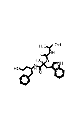 CCCCCCCCC(C)NC(=O)OC(C)(Cc1c[nH]c2ccccc12)C(=O)NC(CCO)Cc1ccccc1